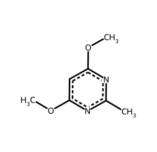 COc1cc(OC)nc(C)n1